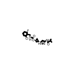 CC(C)C(=O)Nc1cc([C@H]2C[C@@H](OC(=O)NCc3c(F)cccc3Cl)C2)[nH]n1